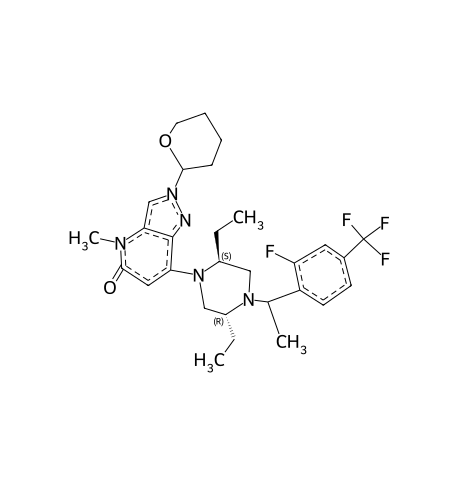 CC[C@H]1CN(C(C)c2ccc(C(F)(F)F)cc2F)[C@H](CC)CN1c1cc(=O)n(C)c2cn(C3CCCCO3)nc12